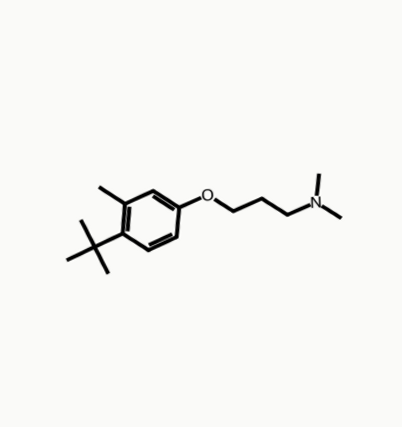 Cc1cc(OCCCN(C)C)ccc1C(C)(C)C